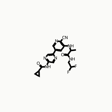 CC(Nc1cc(-c2cnc(NC(=O)C3CC3)cn2)cnc1C#N)C(=O)NCC(F)F